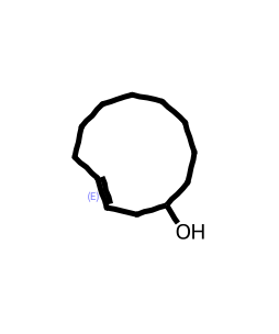 OC1C/C=C/CCCCCCCC1